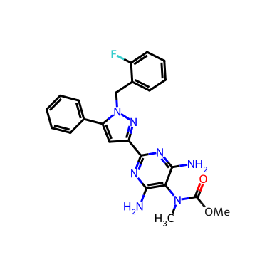 COC(=O)N(C)c1c(N)nc(-c2cc(-c3ccccc3)n(Cc3ccccc3F)n2)nc1N